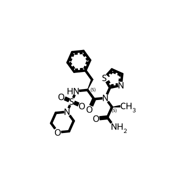 C[C@@H](C(N)=O)N(C(=O)[C@H](Cc1ccccc1)NS(=O)(=O)N1CCOCC1)c1nccs1